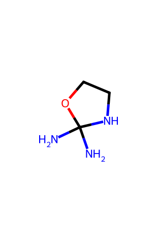 NC1(N)NCCO1